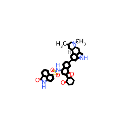 CC1=C[C@@H]2c3cc(-c4ccc5c(NS(=O)(=O)c6ccc7c8c(cccc68)C(=O)N7)cc6c7c(oc6c5c4)CCCC7=O)cc4[nH]cc(c34)CC2N(C)C1